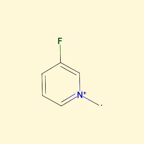 [CH2][n+]1cccc(F)c1